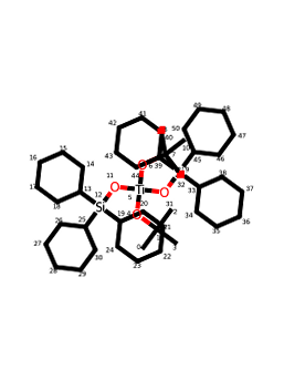 CC(C)(C)[O][Ti]([O]C(C)(C)C)([O][Si](C1CCCCC1)(C1CCCCC1)C1CCCCC1)[O][Si](C1CCCCC1)(C1CCCCC1)C1CCCCC1